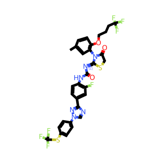 Cc1ccc(OCCCC(F)(F)F)c(N2C(=O)CS/C2=N\C(=O)Nc2ccc(-c3ncn(-c4ccc(SC(F)(F)F)cc4)n3)cc2F)c1